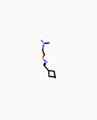 CN(C)CCON=CC1CCC1